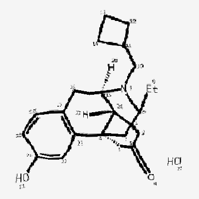 CCC1CC(=O)C[C@]23CCN(CC4CCC4)[C@H](Cc4ccc(O)cc42)[C@H]13.Cl